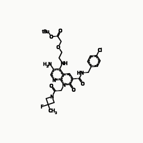 CC1(F)CN(C(=O)Cn2c(=O)c(C(=O)NCc3ccc(Cl)cc3)cc3c(NCCOCC(=O)OC(C)(C)C)c(N)cnc32)C1